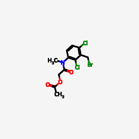 CC(=O)OCC(=O)N(C)c1ccc(Cl)c(CBr)c1Cl